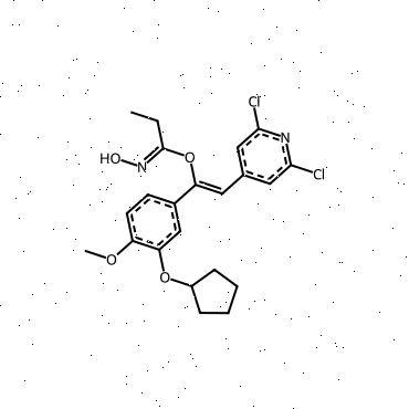 CCC(=NO)OC(=Cc1cc(Cl)nc(Cl)c1)c1ccc(OC)c(OC2CCCC2)c1